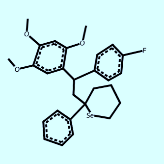 COc1cc(OC)c(C(CC2(c3ccccc3)CCCC[Se]2)c2ccc(F)cc2)cc1OC